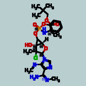 C=Nc1c(/C(N)=N\C)ncn1[C@@H]1O[C@@H]2C(O[P@@](=O)(N[C@H](C)C(=O)OCC(C)(C)C)Oc3ccccc3)[C@]2(O)[C@@]1(C)Cl